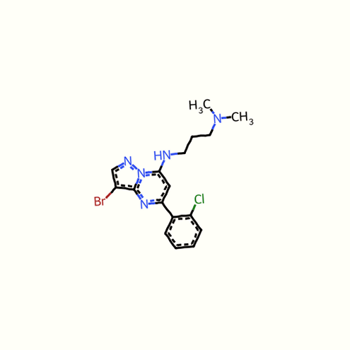 CN(C)CCCNc1cc(-c2ccccc2Cl)nc2c(Br)cnn12